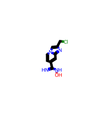 N=C(NO)c1ccn2cc(CCl)nc2c1